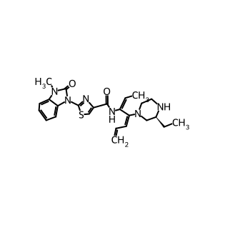 C=C/C=C(\C(=C/C)NC(=O)c1csc(-n2c(=O)n(C)c3ccccc32)n1)N1CCN[C@@H](CC)C1